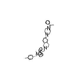 CC(=O)N1CCN(c2ccc3c(c2)CCN(CS(=O)(=O)N(C)Cc2ccc(C)cc2)C3)CC1